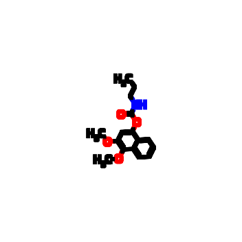 CCCNC(=O)Oc1cc(OC)c(OC)c2ccccc12